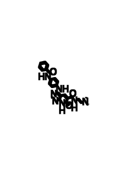 CN(C)CCNC(=O)c1cc2c(Nc3ccc(NC(=O)c4ccccc4)cc3)ncnc2[nH]c1=O